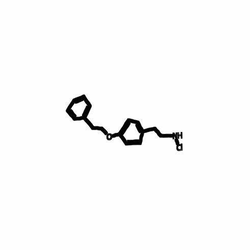 ClNCCc1ccc(OCCc2ccccc2)cc1